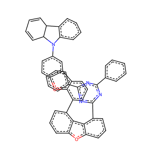 C1=CC2c3ccccc3N(c3ccc4oc5c(-c6cccc7oc8cccc(-c9nc(-c%10ccccc%10)nc(-c%10ccccc%10)n9)c8c67)cccc5c4c3)C2C=C1